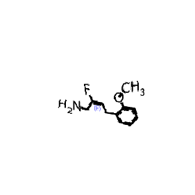 COc1ccccc1C/C=C(/F)CN